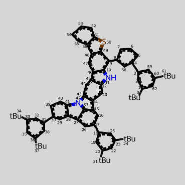 CC(C)(C)c1cc(-c2cccc(-c3c4[nH]c5cc6c7cc(-c8cc(C(C)(C)C)cc(C(C)(C)C)c8)cc8c9cc(-c%10cc(C(C)(C)C)cc(C(C)(C)C)c%10)ccc9n(c6cc5c4cc4c3sc3ccccc34)c87)c2)cc(C(C)(C)C)c1